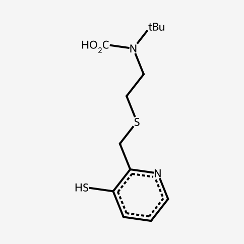 CC(C)(C)N(CCSCc1ncccc1S)C(=O)O